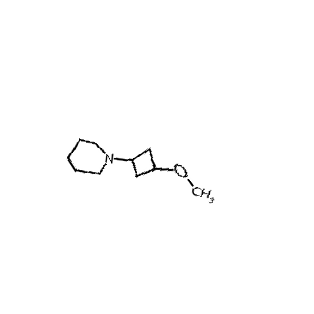 COC1CC(N2CCCCC2)C1